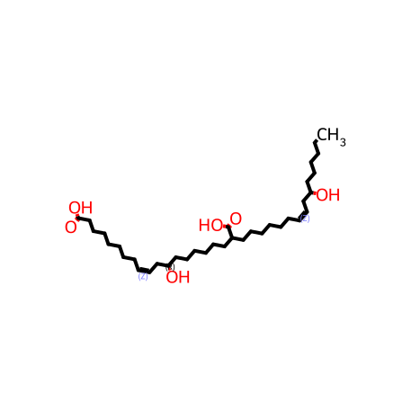 CCCCCCC(O)C/C=C\CCCCCCC(CCCCCC[C@@H](O)C/C=C\CCCCCCCC(=O)O)C(=O)O